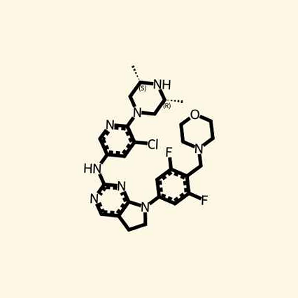 C[C@@H]1CN(c2ncc(Nc3ncc4c(n3)N(c3cc(F)c(CN5CCOCC5)c(F)c3)CC4)cc2Cl)C[C@H](C)N1